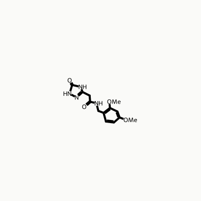 COc1ccc(CNC(=O)Cc2n[nH]c(=O)[nH]2)c(OC)c1